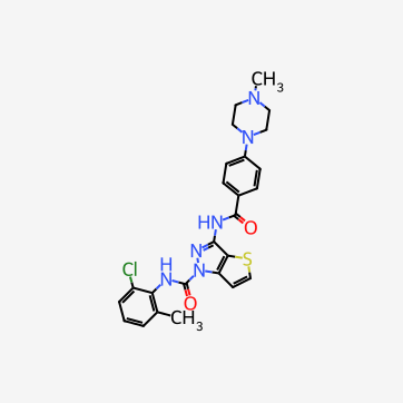 Cc1cccc(Cl)c1NC(=O)n1nc(NC(=O)c2ccc(N3CCN(C)CC3)cc2)c2sccc21